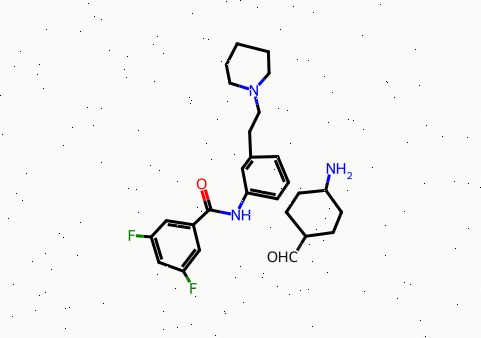 NC1CCC(C=O)CC1.O=C(Nc1cccc(CCN2CCCCC2)c1)c1cc(F)cc(F)c1